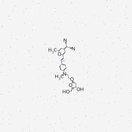 CC1=CC(=C(C#N)C#N)C=C(/C=C/c2ccc(N(C)CCO[C@H]3CC(O)[C@@H](CO)O3)cc2)O1